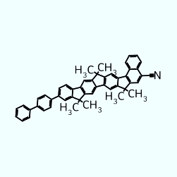 CC1(C)c2cc(-c3ccc(-c4ccccc4)cc3)ccc2-c2cc3c(cc21)-c1cc2c(cc1C3(C)C)-c1c(cc(C#N)c3ccccc13)C2(C)C